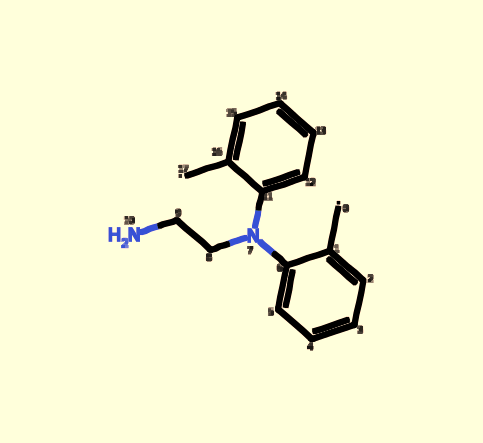 [CH2]c1ccccc1N(CCN)c1ccccc1[CH2]